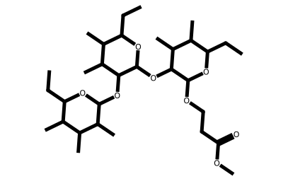 CCC1OC(OC2C(OC3C(OCCC(=O)OC)OC(CC)C(C)C3C)OC(CC)C(C)C2C)C(C)C(C)C1C